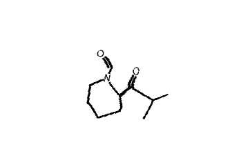 CC(C)C(=O)C1CCCCN1C=O